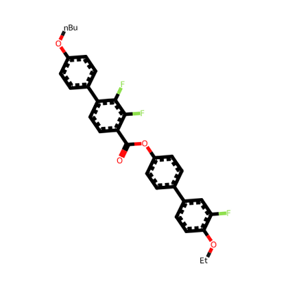 CCCCOc1ccc(-c2ccc(C(=O)Oc3ccc(-c4ccc(OCC)c(F)c4)cc3)c(F)c2F)cc1